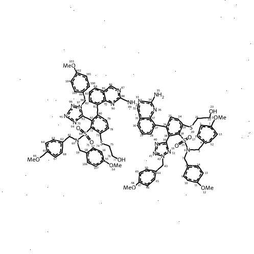 COc1ccc(CN(Cc2ccc(OC)cc2)S(=O)(=O)c2c(SCCO)ccc(-c3cccc4cnc(N)nc34)c2-c2nnn(Cc3ccc(OC)cc3)n2)cc1.COc1ccc(CN(Cc2ccc(OC)cc2)S(=O)(=O)c2c(SCCO)ccc(-c3cccc4cnc(N)nc34)c2-c2nnnn2Cc2ccc(OC)cc2)cc1